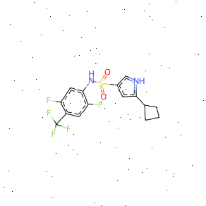 O=S(=O)(Nc1cc(F)c(C(F)(F)F)cc1F)c1c[nH]c(C2CCC2)c1